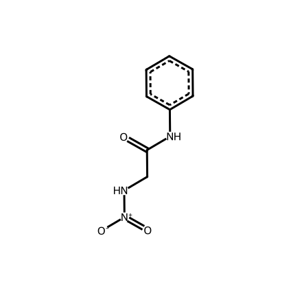 O=C(CN[N+](=O)[O-])Nc1ccccc1